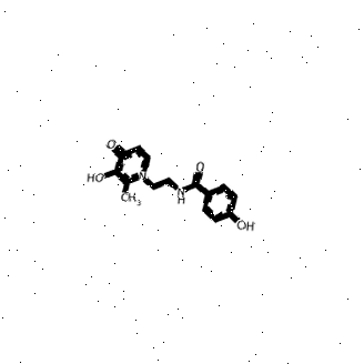 Cc1c(O)c(=O)ccn1CCNC(=O)c1ccc(O)cc1